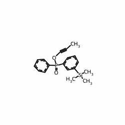 CC#COP(=O)(c1ccccc1)c1cccc([Si](C)(C)C)c1